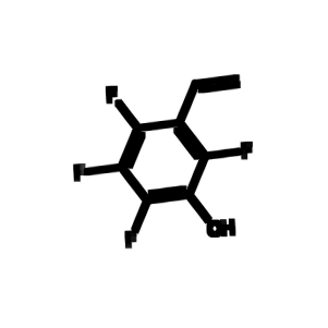 C=Cc1c(F)c(O)c(F)c(F)c1F